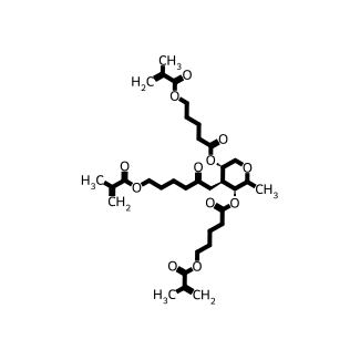 C=C(C)C(=O)OCCCCC(=O)C[C@H]1[C@H](OC(=O)CCCCOC(=O)C(=C)C)COC(C)[C@@H]1OC(=O)CCCCOC(=O)C(=C)C